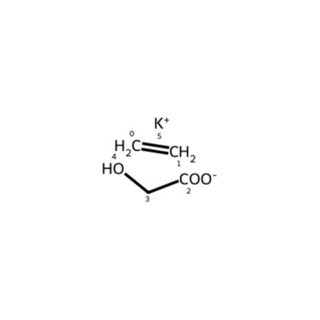 C=C.O=C([O-])CO.[K+]